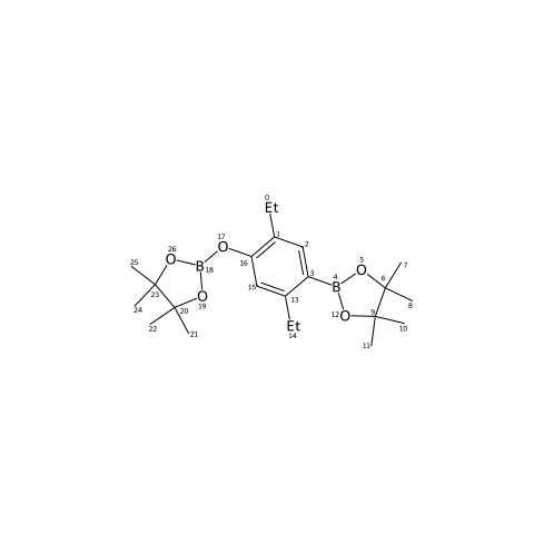 CCc1cc(B2OC(C)(C)C(C)(C)O2)c(CC)cc1OB1OC(C)(C)C(C)(C)O1